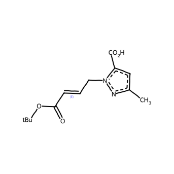 Cc1cc(C(=O)O)n(C/C=C/C(=O)OC(C)(C)C)n1